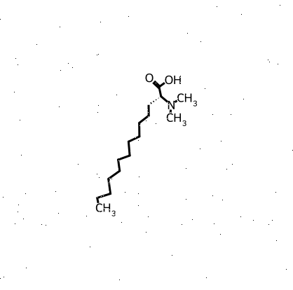 CCCCCCCCCCCC[C@H](C(=O)O)N(C)C